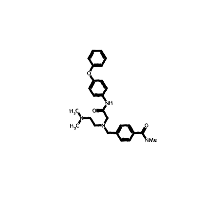 CNC(=O)c1ccc(CN(CCN(C)C)CC(=O)Nc2ccc(Oc3ccccc3)cc2)cc1